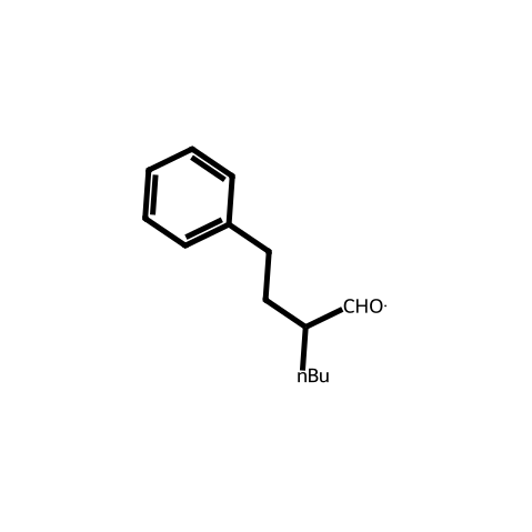 CCCCC([C]=O)CCc1ccccc1